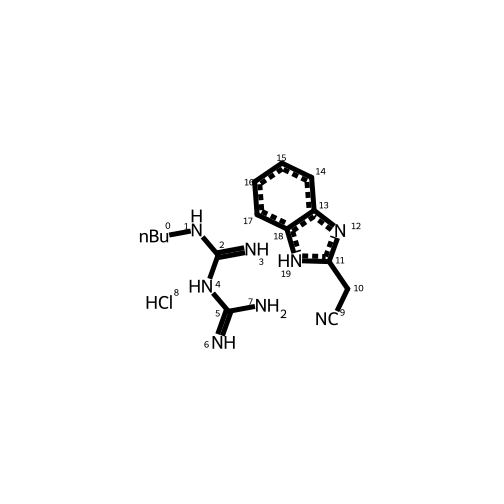 CCCCNC(=N)NC(=N)N.Cl.N#CCc1nc2ccccc2[nH]1